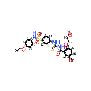 CCOc1ccc(NS(=O)(=O)c2ccc(NC(=S)NC(=O)c3cc(Br)ccc3OCCOC)cc2)cc1